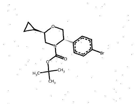 CC(C)(C)OC(=O)N1C[C@@H](C2CC2)OC[C@@H]1c1ccc(Br)cc1